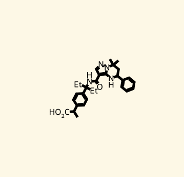 CCC(CC)(NC(=O)c1cnn2c1NC(c1ccccc1)CC2(C)C)c1ccc(C(C)C(=O)O)cc1